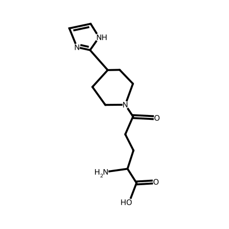 NC(CCC(=O)N1CCC(c2ncc[nH]2)CC1)C(=O)O